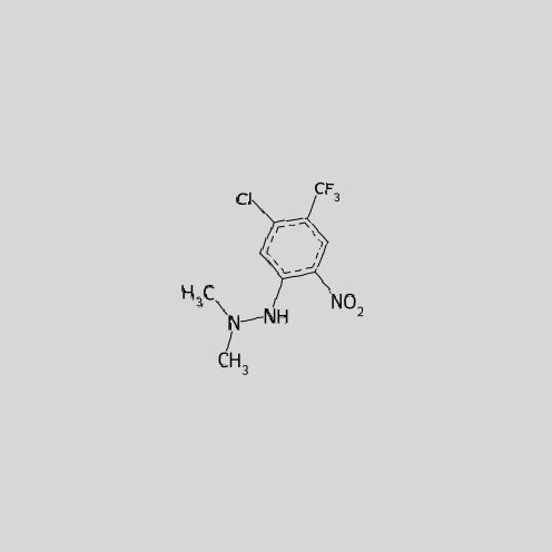 CN(C)Nc1cc(Cl)c(C(F)(F)F)cc1[N+](=O)[O-]